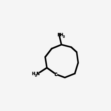 BC1CCCCCCC(N)CC1